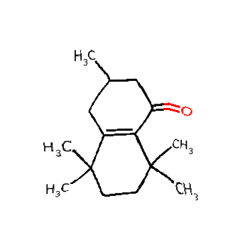 CC1CC(=O)C2=C(C1)C(C)(C)CCC2(C)C